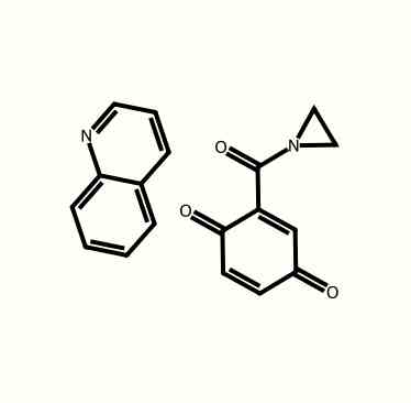 O=C1C=CC(=O)C(C(=O)N2CC2)=C1.c1ccc2ncccc2c1